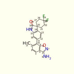 Cc1ccc2c(N)noc2c1-c1ccc2c(c1)NC(=O)C21CCC(F)(F)CC1